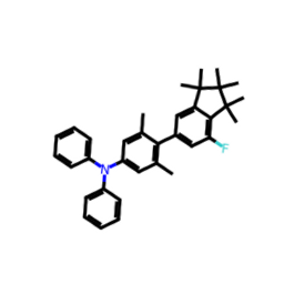 Cc1cc(N(c2ccccc2)c2ccccc2)cc(C)c1-c1cc(F)c2c(c1)C(C)(C)C(C)(C)C2(C)C